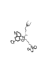 CCN(CC)CCCC(C)N(C(=O)CCCCCN1C(=O)C=CC1=O)c1ccnc2cc(Cl)ccc12